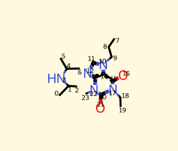 CC(C)NC(C)C.CCCn1cnc2c1c(=O)n(CC)c(=O)n2C